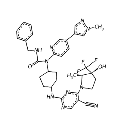 C[C@@H]1N(c2nc(NC3CCC(N(C(=O)NCc4ccccc4)c4ccc(-c5cnn(C)c5)cn4)CC3)ncc2C#N)CC[C@@]1(O)C(F)(F)F